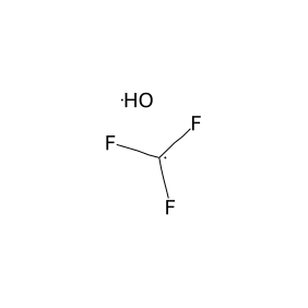 F[C](F)F.[OH]